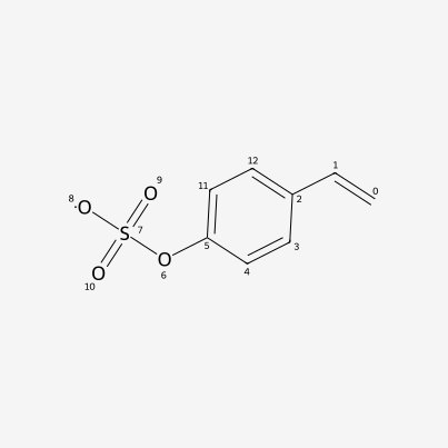 C=Cc1ccc(OS([O])(=O)=O)cc1